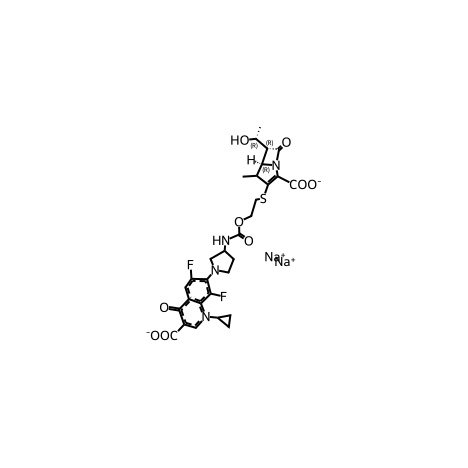 CC1C(SCCOC(=O)NC2CCN(c3c(F)cc4c(=O)c(C(=O)[O-])cn(C5CC5)c4c3F)C2)=C(C(=O)[O-])N2C(=O)[C@@H]([C@@H](C)O)[C@H]12.[Na+].[Na+]